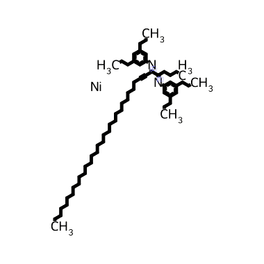 CCCCCCCCCCCCCCCCCCCCCCCCCCCCC#CC(=N\c1cc(CCC)cc(CCC)c1)/C(CCCC)=N/c1cc(CCC)cc(CCC)c1.[Ni]